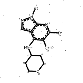 CCc1nc2c(cnn2CC)c(NC2CCOCC2)c1C=O